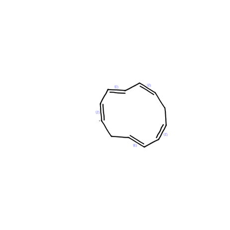 [C]1=C/C=C/C=C\C/C=C\C=C\C\1